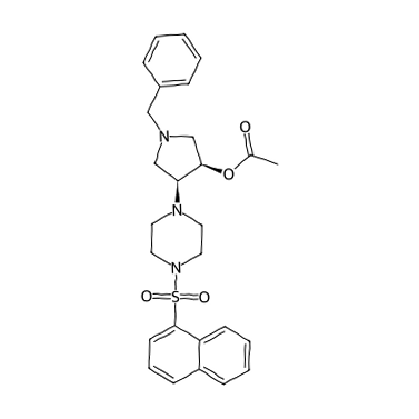 CC(=O)O[C@@H]1CN(Cc2ccccc2)C[C@@H]1N1CCN(S(=O)(=O)c2cccc3ccccc23)CC1